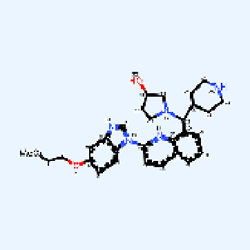 COCCOc1ccc2c(c1)ncn2-c1ccc2cccc(C(C3CCNCC3)N3CCC(O)C3)c2n1